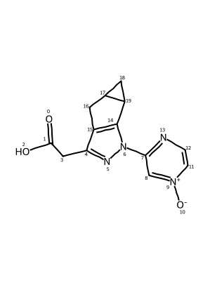 O=C(O)Cc1nn(-c2c[n+]([O-])ccn2)c2c1CC1CC21